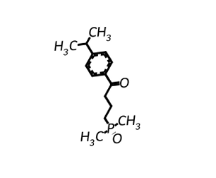 CC(C)c1ccc(C(=O)CCCP(C)(C)=O)cc1